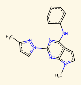 Cc1ccn(-c2nc(Nc3ccccc3)c3ccn(C)c3n2)n1